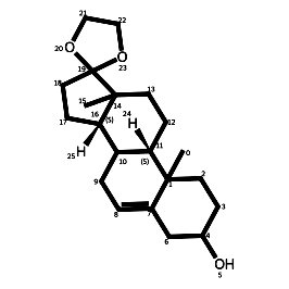 CC12CCC(O)CC1=CCC1[C@@H]2CCC2(C)[C@H]1CCC21OCCO1